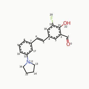 O=Cc1cc(C=Cc2cccc(N3CCCC3)c2)cc(F)c1O